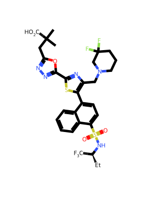 CC[C@H](NS(=O)(=O)c1ccc(-c2sc(-c3nnc(CC(C)(C)C(=O)O)o3)nc2CN2CCCC(F)(F)C2)c2ccccc12)C(F)(F)F